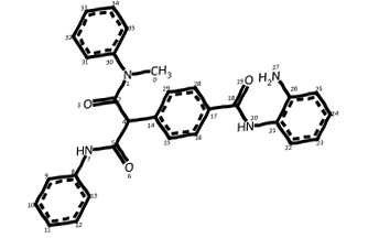 CN(C(=O)C(C(=O)Nc1ccccc1)c1ccc(C(=O)Nc2ccccc2N)cc1)c1ccccc1